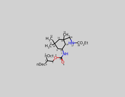 CCCCCCCCCCC(CCCCCCCC)COC(=O)NC1CC(C)(C)CC(C)(CNC(=O)OCC)C1